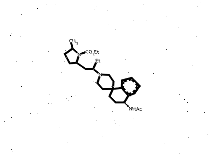 CCOC(=O)N1C(C)CCC1CC(CC)N1CCC2(CC[C@H](NC(C)=O)c3ccccc32)CC1